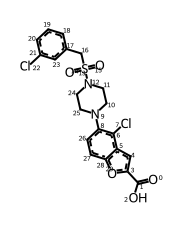 O=C(O)c1cc2c(Cl)c(N3CCN(S(=O)(=O)Cc4cccc(Cl)c4)CC3)ccc2o1